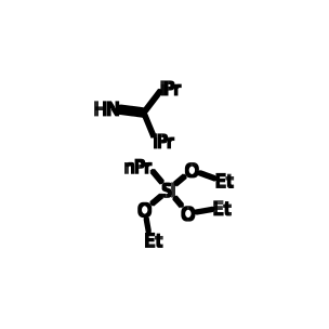 CC(C)C(=N)C(C)C.CCC[Si](OCC)(OCC)OCC